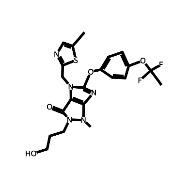 Cc1cnc(Cn2c(Oc3ccc(OC(C)(F)F)cc3)nc3c2c(=O)n(CCCO)n3C)s1